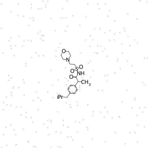 CC(C)Cc1ccc(C(C)C(=O)NS(=O)(=O)CCN2CCOCC2)cc1